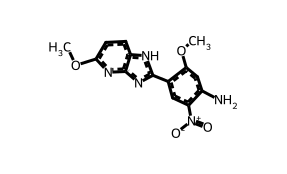 COc1ccc2[nH]c(-c3cc([N+](=O)[O-])c(N)cc3OC)nc2n1